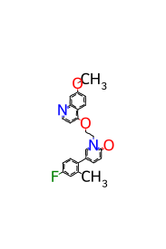 COc1ccc2c(OCCn3cc(-c4ccc(F)cc4C)ccc3=O)ccnc2c1